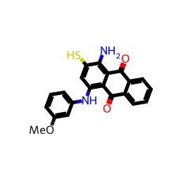 COc1cccc(Nc2cc(S)c(N)c3c2C(=O)c2ccccc2C3=O)c1